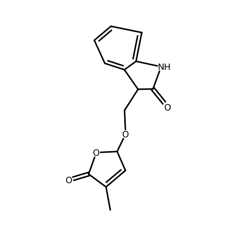 CC1=CC(OCC2C(=O)Nc3ccccc32)OC1=O